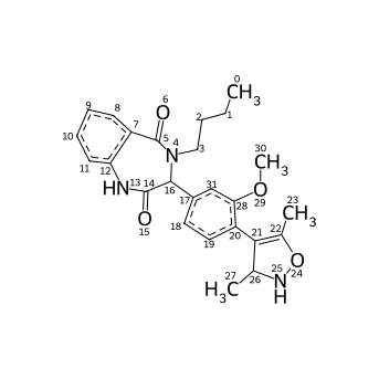 CCCCN1C(=O)c2ccccc2NC(=O)C1c1ccc(C2=C(C)ONC2C)c(OC)c1